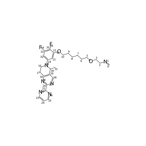 C=NCCOCCCCCCOc1cc(N2CCc3nc(-c4ncccn4)ncc3C2C)cc(F)c1F